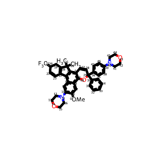 COc1cc2c3c(c4c(c2cc1N1CCOCC1)C1=C(CC(C(F)(F)F)C=C1)C4(C)C)C=CC(c1ccccc1)(c1ccc(N2CCOCC2)cc1)O3